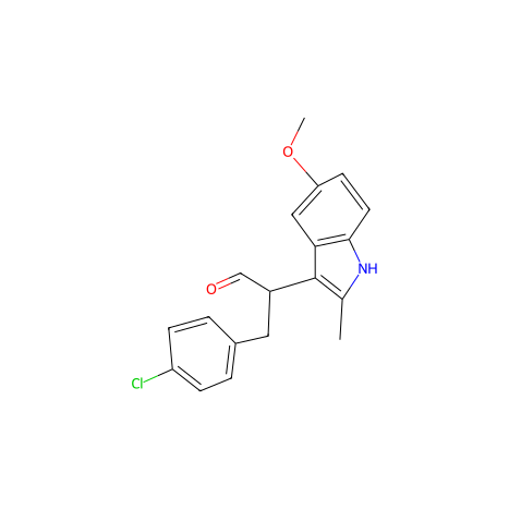 COc1ccc2[nH]c(C)c(C(C=O)Cc3ccc(Cl)cc3)c2c1